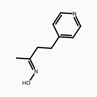 CC(CCc1ccncc1)=NO